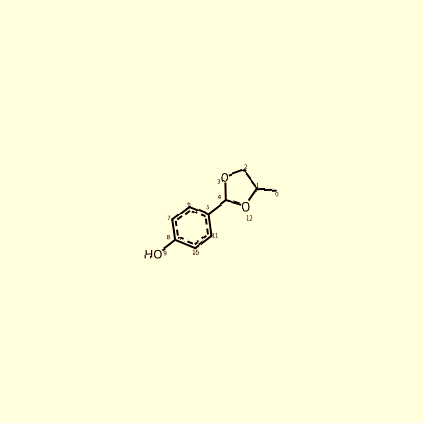 CC1COC(c2ccc(O)cc2)O1